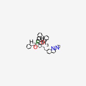 CC(C)(C)[Si](O[C@@H]1[C@@H](CCc2ccc3ccc(N4CCC4)nc3c2)C[C@H](OCc2ccccc2)[C@H]1F)(c1ccccc1)c1ccccc1